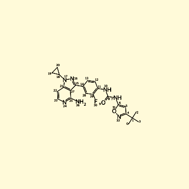 CC(C)(C)c1cc(NC(=O)Nc2ccc(-c3nn(C4CC4)c4ccnc(N)c34)cc2F)on1